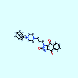 O=C1c2ccccc2C(=O)c2c1n[n+]([O-])n2CCCN1CCN(C23CC4CC(CC2C4)C3)CC1